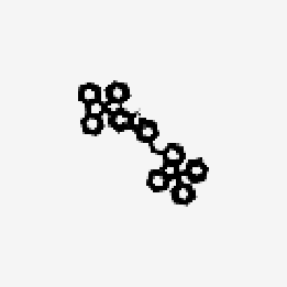 C1=CC2=C(c3ccccc3C2(c2ccccc2)c2ccccc2)C(Cc2ccc3sc4cc(C5(c6ccccc6)c6ccccc6-c6ccccc65)ccc4c3c2)C1